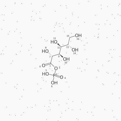 O=C(OP(=O)(O)O)[C@H](O)[C@H](O)[C@@H](O)[C@@H](O)CO